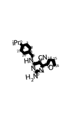 CC(C)c1ccc(CNc2nc(N)nc(-c3ccco3)c2C#N)cc1